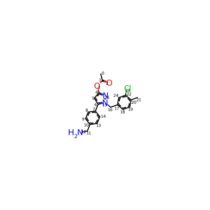 CC(=O)Oc1cc(-c2ccc(CN)cc2)n(Cc2ccc(C)c(Cl)c2)n1